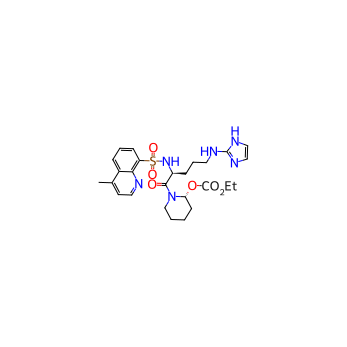 CCOC(=O)O[C@@H]1CCCCN1C(=O)[C@H](CCCNc1ncc[nH]1)NS(=O)(=O)c1cccc2c(C)ccnc12